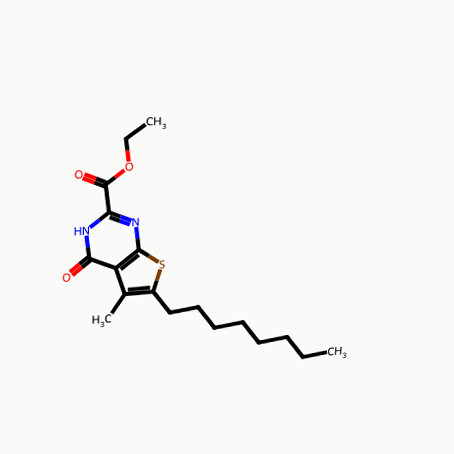 CCCCCCCCc1sc2nc(C(=O)OCC)[nH]c(=O)c2c1C